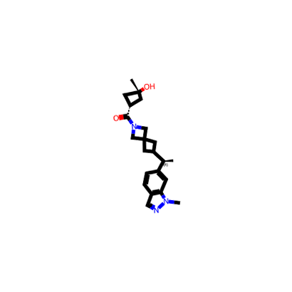 C[C@@H](c1ccc2cnn(C)c2c1)C1CC2(C1)CN(C(=O)[C@H]1C[C@@](C)(O)C1)C2